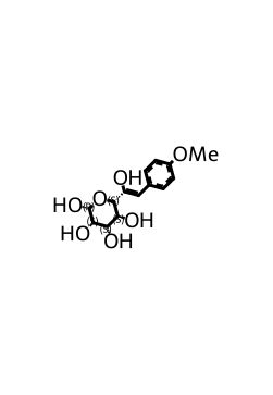 COc1ccc(C=C(O)[C@H]2O[C@@H](O)[C@@H](O)[C@@H](O)[C@@H]2O)cc1